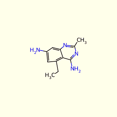 CCc1cc(N)cc2nc(C)nc(N)c12